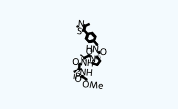 COCC(=O)N[C@@H](CC(C)C)C(=O)N[C@@H](C)C(=O)N1CCC[C@H]1C(=O)NCc1ccc(-c2scnc2C)cc1